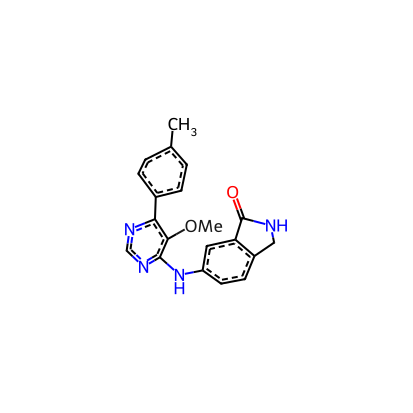 COc1c(Nc2ccc3c(c2)C(=O)NC3)ncnc1-c1ccc(C)cc1